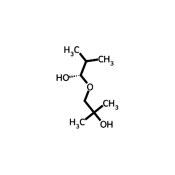 CC(C)[C@@H](O)OCC(C)(C)O